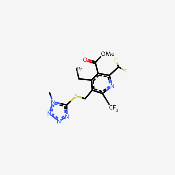 COC(=O)c1c(C(F)F)nc(C(F)(F)F)c(CSc2nnnn2C)c1CC(C)C